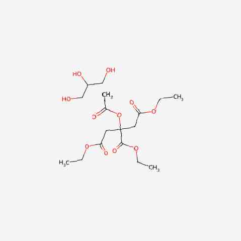 CCOC(=O)CC(CC(=O)OCC)(OC(C)=O)C(=O)OCC.OCC(O)CO